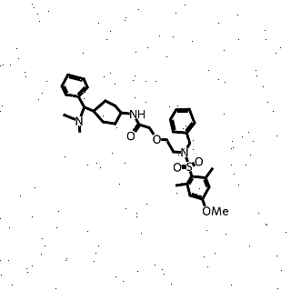 COc1cc(C)c(S(=O)(=O)N(CCOCC(=O)NC2CCC(C(c3ccccc3)N(C)C)CC2)Cc2ccccc2)c(C)c1